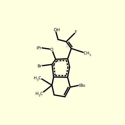 C/C(=C(\F)CO)c1cc2c(c(Br)c1OC(C)C)C(C)(C)CC=C2C(C)(C)C